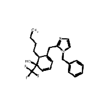 CCCCC1C(Cc2nccn2Cc2ccccc2)=CC=CC1(O)C(F)(F)F